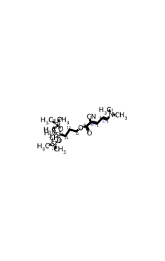 CN(C)/C=C/C=C(\C#N)C(=O)OCCC[Si](C)(O[Si](C)(C)C)O[Si](C)(C)C